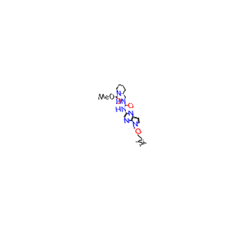 COC(=O)N1CCCCC1CNC(=O)Nc1cnc2c(ccn2COCC[Si](C)(C)C)n1